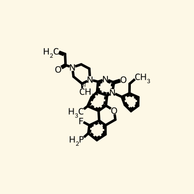 C=CC(=O)N1CCN(c2nc(=O)n(-c3ccccc3CC)c3c4c(c(C)cc23)-c2c(ccc(P)c2F)CO4)[C@@H](C)C1